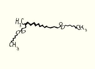 CCCCCCCOC(=O)CCCCCCCCCCCCC(C)CCC(=O)OCCCCCCC